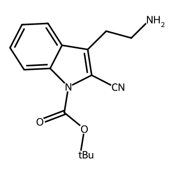 CC(C)(C)OC(=O)n1c(C#N)c(CCN)c2ccccc21